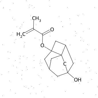 C=C(C)C(=O)OC12CC3CC4(O)CC(C1)C2(C3)C4